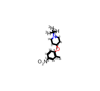 [2H]C([2H])([2H])N1CCC(Oc2ccc([N+](=O)[O-])cc2C)CC1